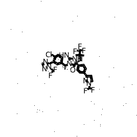 [CH2][C@@H](c1ccc(Cl)c(-c2ncnn2C(F)F)c1)N1C(=N)N[C@](CC(C)(C)C(F)(F)F)(c2ccc(-c3ccn(C(F)F)n3)cc2)C1=O